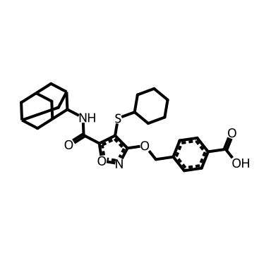 O=C(O)c1ccc(COc2noc(C(=O)NC3C4CC5CC(C4)CC3C5)c2SC2CCCCC2)cc1